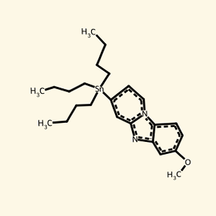 CCC[CH2][Sn]([CH2]CCC)([CH2]CCC)[c]1ccn2c(c1)nc1cc(OC)ccc12